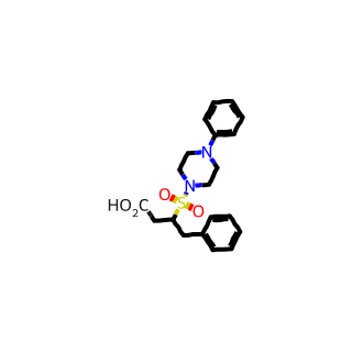 O=C(O)CC(Cc1ccccc1)S(=O)(=O)N1CCN(c2ccccc2)CC1